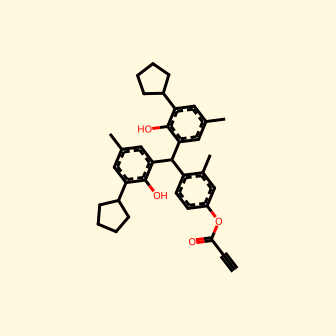 C#CC(=O)Oc1ccc(C(c2cc(C)cc(C3CCCC3)c2O)c2cc(C)cc(C3CCCC3)c2O)c(C)c1